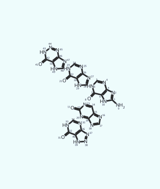 Nc1nc2nc[nH]c(=O)c2[nH]1.O=C1N=CC2=NC=NC2=N1.O=c1[nH]cnc2nc[nH]c12.O=c1[nH]cnc2nn[nH]c12.O=c1[nH]nnc2nc[nH]c12